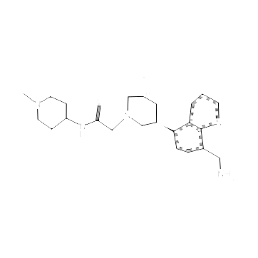 C[C@@H]1C[C@@H](c2ccc(CN)c3ncccc23)CN(CC(=O)NC2CCN(C)CC2)C1